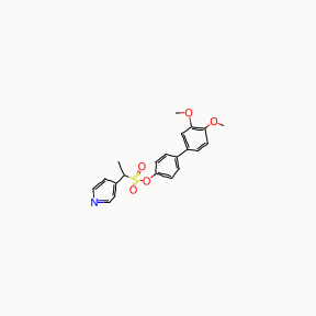 COc1ccc(-c2ccc(OS(=O)(=O)C(C)c3ccncc3)cc2)cc1OC